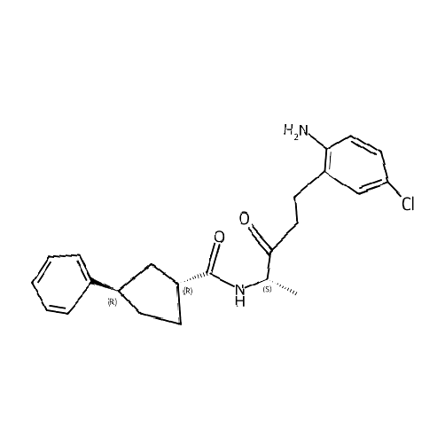 C[C@H](NC(=O)[C@@H]1CC[C@@H](c2ccccc2)C1)C(=O)CCc1cc(Cl)ccc1N